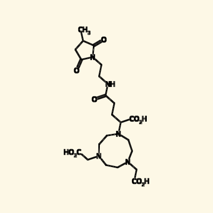 CC1CC(=O)N(CCNC(=O)CCC(C(=O)O)N2CCN(CC(=O)O)CCN(CC(=O)O)CC2)C1=O